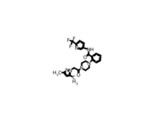 Cc1cc(C)n(CC(=O)N2CCN(c3ccccc3C(=O)Nc3ccc(C(F)(F)F)nc3)CC2)n1